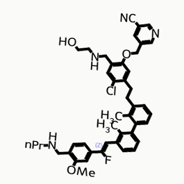 CCCNCc1ccc(/C(F)=C/c2cccc(-c3cccc(CCc4cc(OCc5cncc(C#N)c5)c(CNCCO)cc4Cl)c3C)c2C)cc1OC